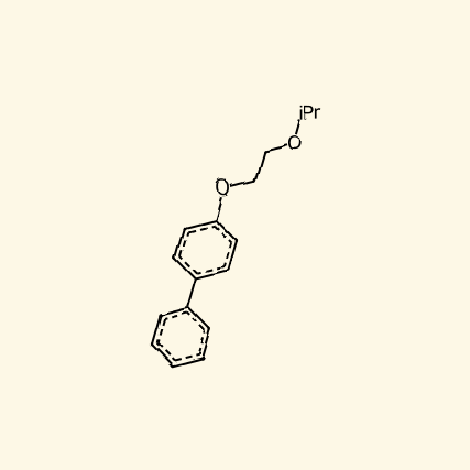 CC(C)OCCOc1ccc(-c2ccccc2)cc1